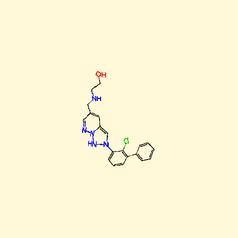 OCCNCC1=CC2=CN(c3cccc(-c4ccccc4)c3Cl)NN2N=C1